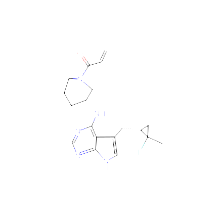 C=CC(=O)N1C[C@H](Nc2ncnc3[nH]cc(C[C@@H]4CC4(C)F)c23)CC[C@@H]1C